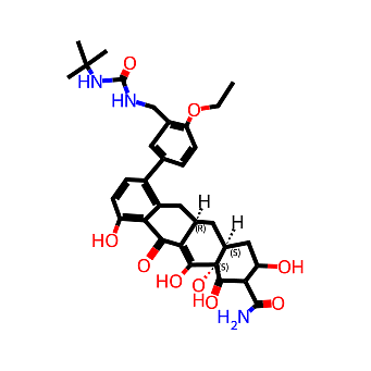 CCOc1ccc(-c2ccc(O)c3c2C[C@H]2C[C@H]4CC(O)C(C(N)=O)C(=O)[C@@]4(O)C(O)=C2C3=O)cc1CNC(=O)NC(C)(C)C